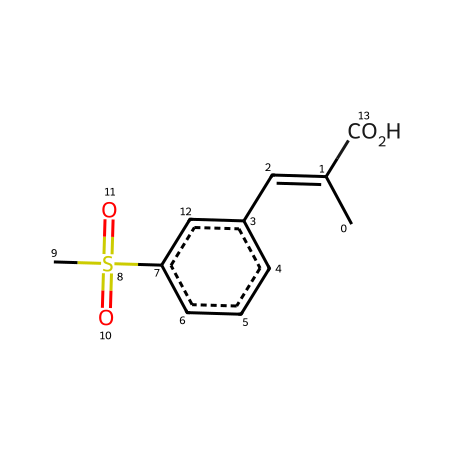 CC(=Cc1cccc(S(C)(=O)=O)c1)C(=O)O